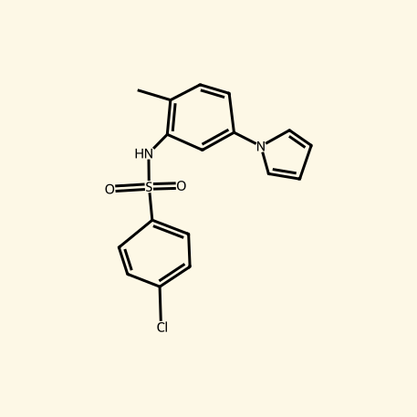 Cc1ccc(-n2cccc2)cc1NS(=O)(=O)c1ccc(Cl)cc1